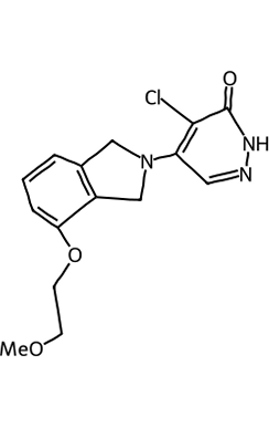 COCCOc1cccc2c1CN(c1cn[nH]c(=O)c1Cl)C2